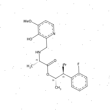 COc1ccnc(CN[C@@H](C)C(=O)O[C@@H](C)[C@H](c2ccccc2F)C(C)C)c1O